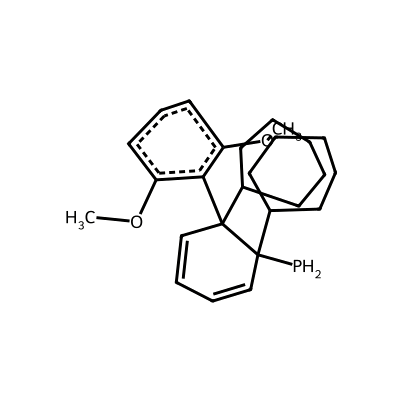 COc1cccc(OC)c1C1(C2CCCCC2)C=CC=CC1(P)C1CCCCC1